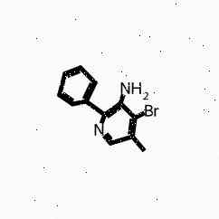 Cc1cnc(-c2ccccc2)c(N)c1Br